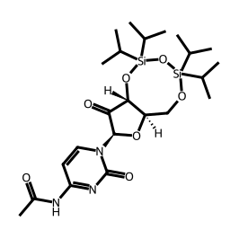 CC(=O)Nc1ccn([C@@H]2O[C@@H]3CO[Si](C(C)C)(C(C)C)O[Si](C(C)C)(C(C)C)O[C@H]3C2=O)c(=O)n1